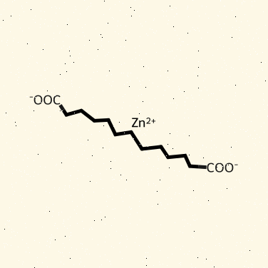 O=C([O-])CCCCCCCCCCCC(=O)[O-].[Zn+2]